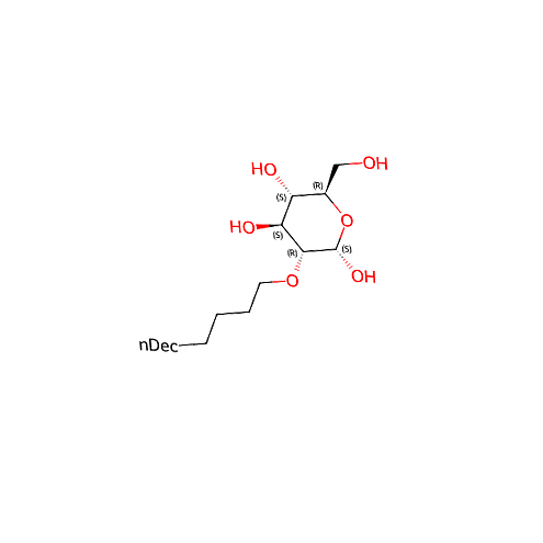 CCCCCCCCCCCCCCO[C@@H]1[C@@H](O)[C@H](O)[C@@H](CO)O[C@@H]1O